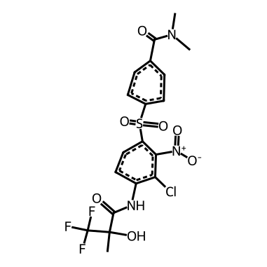 CN(C)C(=O)c1ccc(S(=O)(=O)c2ccc(NC(=O)C(C)(O)C(F)(F)F)c(Cl)c2[N+](=O)[O-])cc1